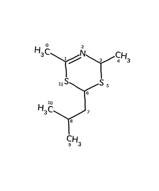 CC1=NC(C)SC(CC(C)C)S1